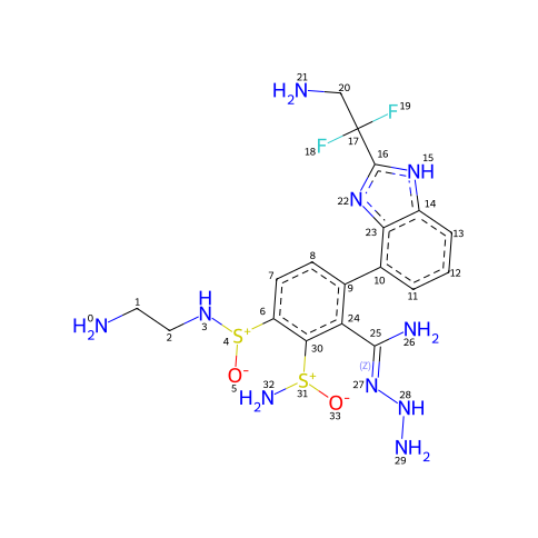 NCCN[S+]([O-])c1ccc(-c2cccc3[nH]c(C(F)(F)CN)nc23)c(/C(N)=N/NN)c1[S+](N)[O-]